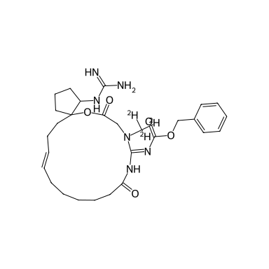 [2H]C([2H])([2H])N1CC(=O)OC2(CC/C=C/CCCCCC(=O)N/C1=N/C(=O)OCc1ccccc1)CCCC2NC(=N)N